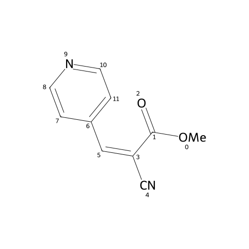 COC(=O)/C(C#N)=C\c1ccncc1